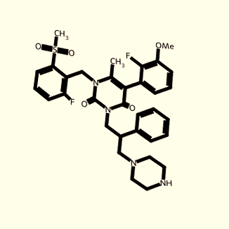 COc1cccc(-c2c(C)n(Cc3c(F)cccc3S(C)(=O)=O)c(=O)n(CC(CN3CCNCC3)c3ccccc3)c2=O)c1F